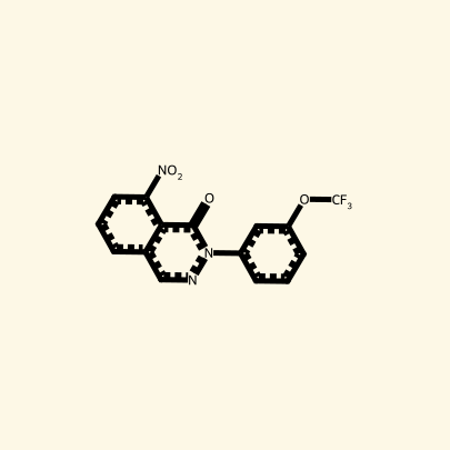 O=c1c2c([N+](=O)[O-])cccc2cnn1-c1cccc(OC(F)(F)F)c1